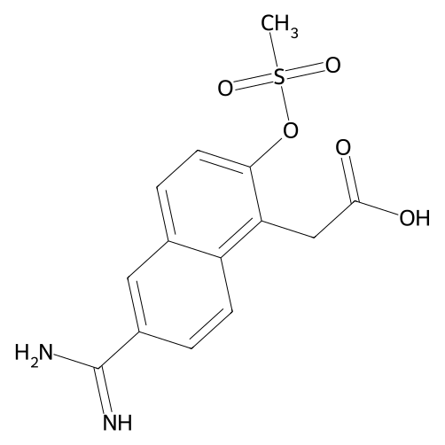 CS(=O)(=O)Oc1ccc2cc(C(=N)N)ccc2c1CC(=O)O